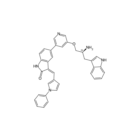 N[C@H](COc1cncc(-c2ccc3c(c2)C(=Cc2ccn(-c4ccccc4)c2)C(=O)N3)c1)Cc1c[nH]c2ccccc12